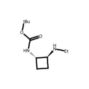 CCN[C@H]1CC[C@@H]1NC(=O)OC(C)(C)C